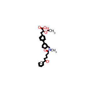 CCOC(Cc1ccc(-c2cccc(CN(C)C(=O)CCCCC(=O)c3ccccc3)c2)cc1)C(=O)O